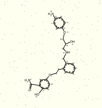 NC(=O)c1cc(OCCc2ccccc2CNCC(O)COc2ccc(N)cc2)ccc1O